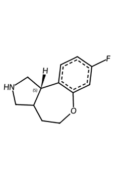 Fc1ccc2c(c1)OCCC1CNC[C@H]21